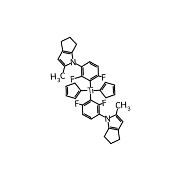 Cc1cc2c(n1-c1ccc(F)[c]([Ti]([C]3=CC=CC3)([C]3=CC=CC3)[c]3c(F)ccc(-n4c(C)cc5c4CCC5)c3F)c1F)CCC2